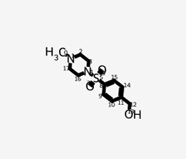 CN1CCN(S(=O)(=O)c2ccc(CO)cc2)CC1